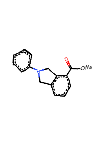 COC(=O)c1cccc2c1CN(c1ccccc1)C2